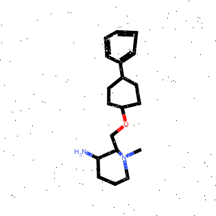 CN1CCCC(N)C1COC1CCC(c2ccccc2)CC1